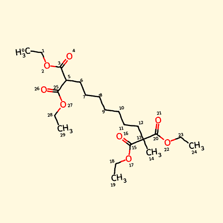 CCOC(=O)C(CC[CH]CCCCC(C)(C(=O)OCC)C(=O)OCC)C(=O)OCC